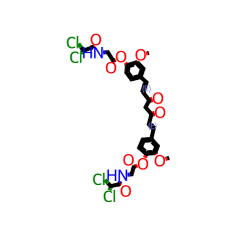 COc1cc(/C=C/C(=O)CC(=O)/C=C/c2ccc(OC(=O)CNC(=O)C(Cl)Cl)c(OC)c2)ccc1OC(=O)CNC(=O)C(Cl)Cl